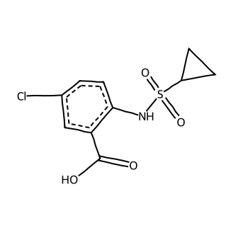 O=C(O)c1cc(Cl)ccc1NS(=O)(=O)C1CC1